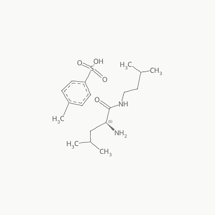 CC(C)CCNC(=O)[C@@H](N)CC(C)C.Cc1ccc(S(=O)(=O)O)cc1